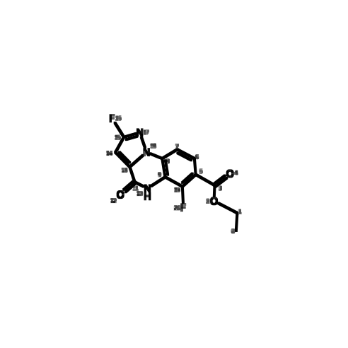 CCOC(=O)c1ccc2c([nH]c(=O)c3cc(F)nn32)c1F